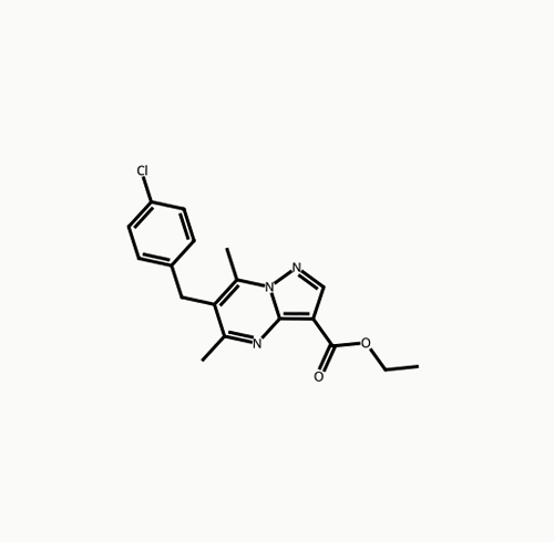 CCOC(=O)c1cnn2c(C)c(Cc3ccc(Cl)cc3)c(C)nc12